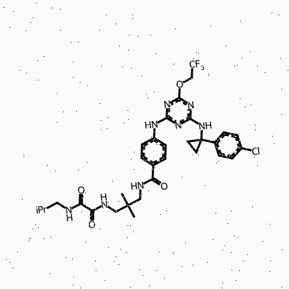 CC(C)CNC(=O)C(=O)NCC(C)(C)CNC(=O)c1ccc(Nc2nc(NC3(c4ccc(Cl)cc4)CC3)nc(OCC(F)(F)F)n2)cc1